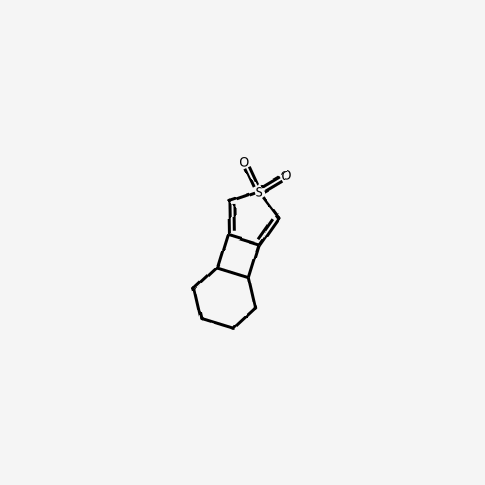 O=S1(=O)C=C2C(=C1)C1CCCCC21